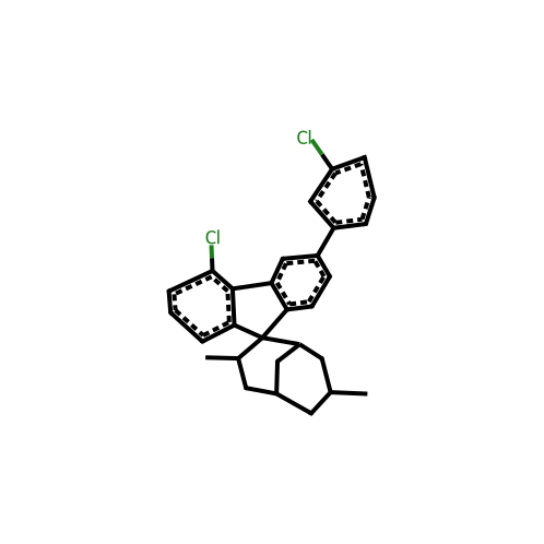 CC1CC2CC(C)C3(c4ccc(-c5cccc(Cl)c5)cc4-c4c(Cl)cccc43)C(C1)C2